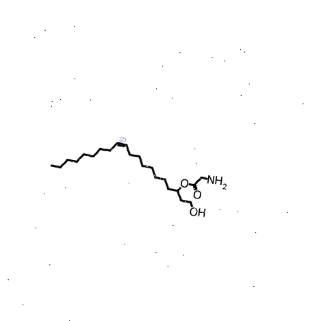 CCCCCCCC/C=C\CCCCCCCC(CCO)OC(=O)CN